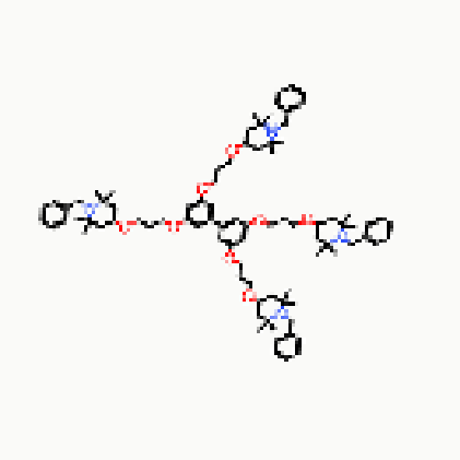 CC1(C)CC(OCCCOc2cc(OCCCOC3CC(C)(C)N(Cc4ccccc4)C(C)(C)C3)cc(-c3cc(OCCCOC4CC(C)(C)N(Cc5ccccc5)C(C)(C)C4)cc(OCCCOC4CC(C)(C)N(Cc5ccccc5)C(C)(C)C4)c3)c2)CC(C)(C)N1Cc1ccccc1